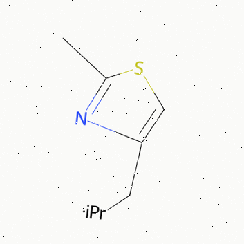 C[C](C)Cc1csc(C)n1